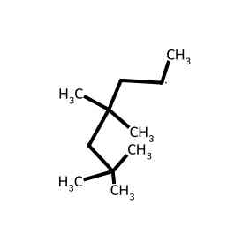 C[CH]CC(C)(C)CC(C)(C)C